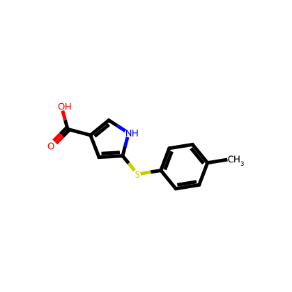 Cc1ccc(Sc2cc(C(=O)O)c[nH]2)cc1